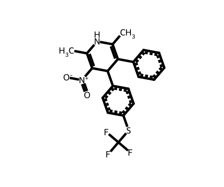 CC1=C(c2ccccc2)C(c2ccc(SC(F)(F)F)cc2)C([N+](=O)[O-])=C(C)N1